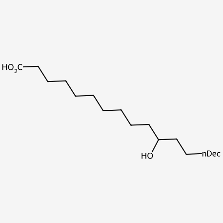 CCCCCCCCCCCCC(O)CCCCCCCCCC(=O)O